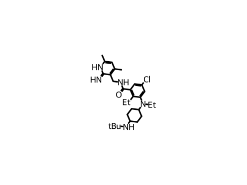 CCc1c(C(=O)NCc2c(C)cc(C)[nH]c2=N)cc(Cl)cc1N(CC)C1CCC(NC(C)(C)C)CC1